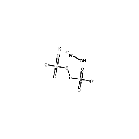 CC(C)O.O=S(=O)([O-])OOS(=O)(=O)[O-].[K+].[K+]